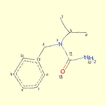 CC(C)N(Cc1ccccc1)C(N)=O